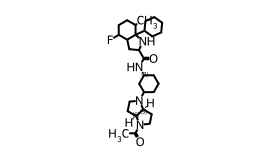 CC(=O)N1CC[C@H]2[C@@H]1CCN2C1CCC[C@@H](NC(=O)C2CC3C(F)CCC(C)C3(C3CCCCC3)N2)C1